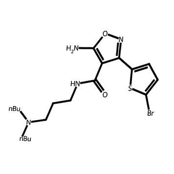 CCCCN(CCCC)CCCNC(=O)c1c(-c2ccc(Br)s2)noc1N